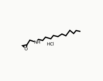 CCCCCCCCCCCCNCC1CO1.Cl